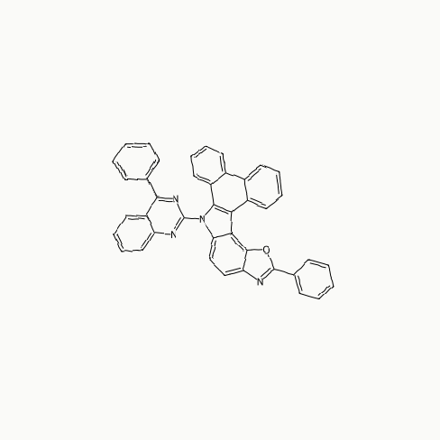 c1ccc(-c2nc3ccc4c(c3o2)c2c3ccccc3c3ccccc3c2n4-c2nc(-c3ccccc3)c3ccccc3n2)cc1